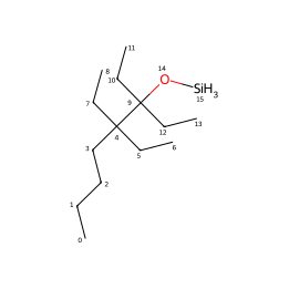 CCCCC(CC)(CC)C(CC)(CC)O[SiH3]